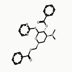 CN(C)[C@H]1C[C@@H](COC(=O)c2ccccc2)OC(Sc2ncccn2)[C@@H]1OC(=O)c1ccccc1